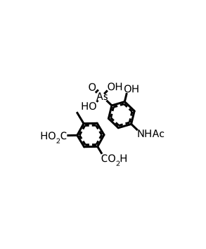 CC(=O)Nc1ccc([As](=O)(O)O)c(O)c1.Cc1ccc(C(=O)O)cc1C(=O)O